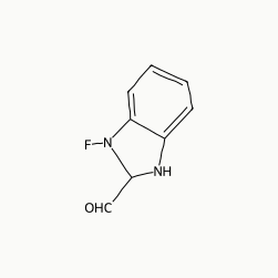 O=CC1Nc2ccccc2N1F